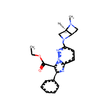 CCOC(=O)c1c(-c2ccccc2)nc2ccc(N3C[C@@H]4C3CN4C)nn12